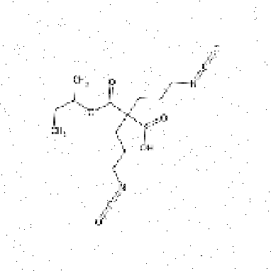 CCC(C)OC(=O)C(CCCN=C=O)(CCCN=C=O)C(=O)O